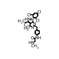 CNCC(=O)Nc1ccc(Cc2nc3n(-c4c(Cl)cc(Cl)cc4Cl)[nH]c(C(C)C)c-3c(=O)n2)cc1